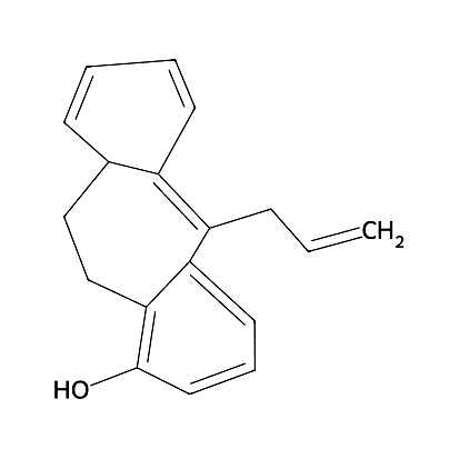 C=CCC1=C2C=CC=CC2CCc2c(O)cccc21